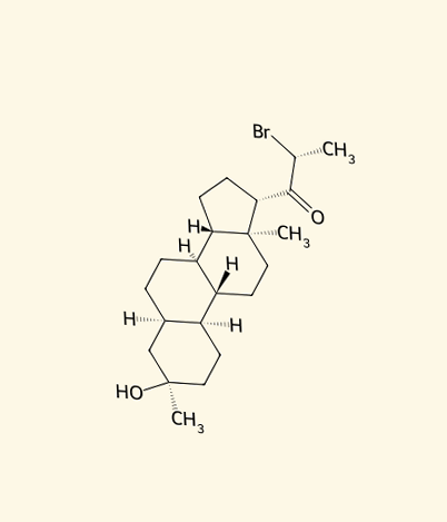 C[C@@H](Br)C(=O)[C@H]1CC[C@H]2[C@@H]3CC[C@@H]4C[C@](C)(O)CC[C@@H]4[C@H]3CC[C@]12C